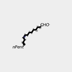 CCCCCC=CC/C=C\CCCCCCC[C]=O